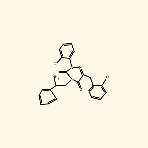 NC(Cn1c(=O)c(Cc2ccccc2Cl)nn(-c2ccccc2Cl)c1=O)c1ccccc1